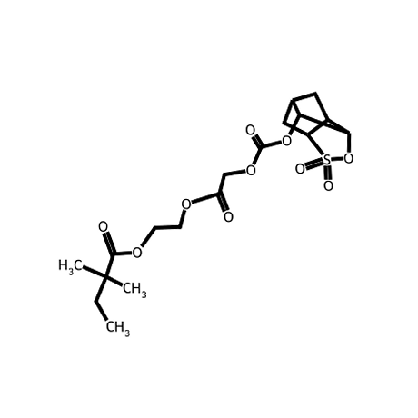 CCC(C)(C)C(=O)OCCOC(=O)COC(=O)OC1C2CC3C1OS(=O)(=O)C3C2